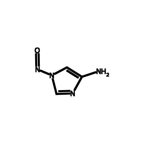 Nc1cn(N=O)cn1